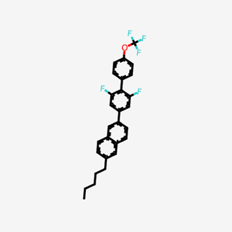 CCCCCc1ccc2cc(-c3cc(F)c(-c4ccc(OC(F)(F)F)cc4)c(F)c3)ccc2c1